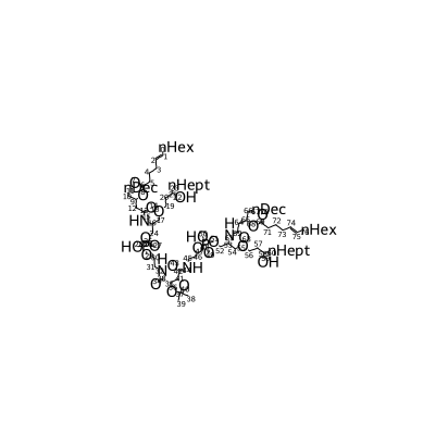 CCCCCC/C=C/CCCC(=O)OC(CCCCCCCCCCC)CC(=O)NC(COCC[C@H](O)CCCCCCC)COP(=O)(O)OCCNC(=O)[C@H]1OC(C)(C)O[C@@H]1C(=O)NCCOP(=O)(O)OCC(COCC[C@H](O)CCCCCCC)NC(=O)CC(CCCCCCCCCCC)OC(=O)CCC/C=C/CCCCCC